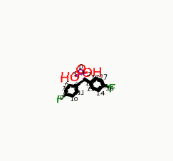 O=P(O)(O)C(c1ccc(F)cc1)c1ccc(F)cc1